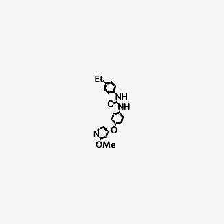 CCc1ccc(NC(=O)Nc2ccc(Oc3ccnc(OC)c3)cc2)cc1